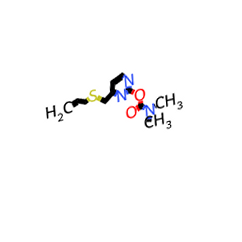 C=CCSCc1ccnc(OC(=O)N(C)C)n1